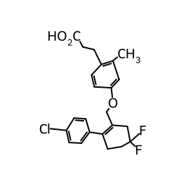 Cc1cc(OCC2=C(c3ccc(Cl)cc3)CCC(F)(F)C2)ccc1CCC(=O)O